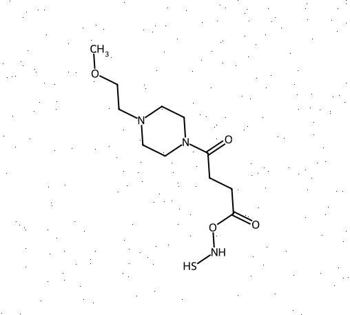 COCCN1CCN(C(=O)CCC(=O)ONS)CC1